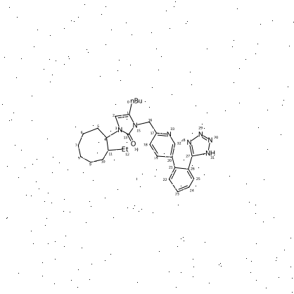 CCCCc1cn(C2CCCCCCC2CC)c(=O)n1Cc1ccc(-c2ccccc2-c2nnn[nH]2)cn1